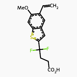 C=Cc1cc2cc(C(F)(F)CCC(=O)O)sc2cc1OC